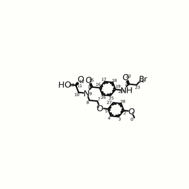 COc1ccc(OCCN(CC(=O)O)C(=O)c2ccc(NC(=O)CBr)cc2)cc1